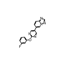 Fc1cccc(Oc2ncc(-c3ccc4ncnn4c3)cn2)c1